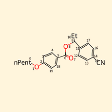 CCCCCOc1ccc(C(=O)OC(CC)c2ccc(C#N)cc2)cc1